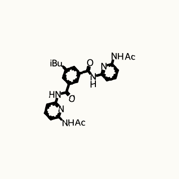 CCC(C)c1cc(C(=O)Nc2cccc(NC(C)=O)n2)cc(C(=O)Nc2cccc(NC(C)=O)n2)c1